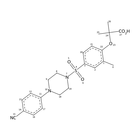 Cc1cc(S(=O)(=O)N2CCN(c3ccc(C#N)cc3)CC2)ccc1OC(C)(C)C(=O)O